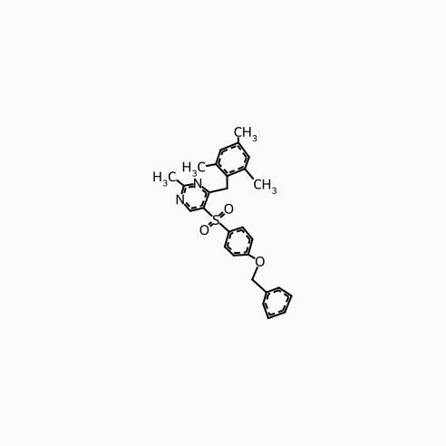 Cc1cc(C)c(Cc2nc(C)ncc2S(=O)(=O)c2ccc(OCc3ccccc3)cc2)c(C)c1